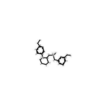 CCc1ccc(N2CCCCC2CN(C)Cc2cccc(CC)c2)cc1